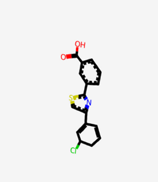 O=C(O)c1cccc(-c2nc(C3=CC(Cl)CC=C3)cs2)c1